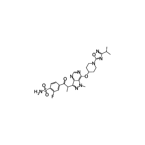 CC(C)c1noc(N2CCC(Oc3ncnc4c(C(C)C(=O)c5ccc(S(N)(=O)=O)c(F)c5)nn(C)c34)CC2)n1